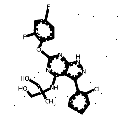 CC(CO)(CO)Nc1nc(Oc2ccc(F)cc2F)nc2[nH]nc(-c3ccccc3Cl)c12